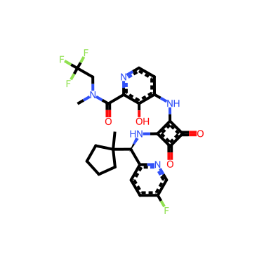 CN(CC(F)(F)F)C(=O)c1nccc(Nc2c(N[C@@H](c3ccc(F)cn3)C3(C)CCCC3)c(=O)c2=O)c1O